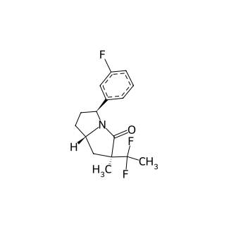 CC(F)(F)[C@@]1(C)C[C@@H]2CC[C@@H](c3cccc(F)c3)N2C1=O